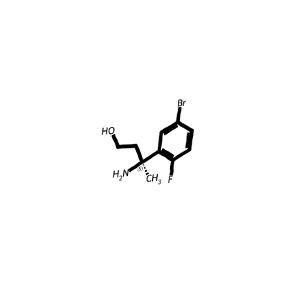 C[C@](N)(CCO)c1cc(Br)ccc1F